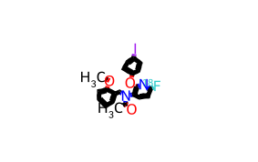 COc1ccccc1CN(C(C)=O)c1ccc([18F])nc1Oc1ccc(I)cc1